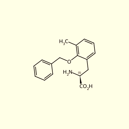 Cc1cccc(C[C@H](N)C(=O)O)c1OCc1ccccc1